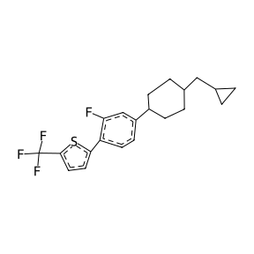 Fc1cc(C2CCC(CC3CC3)CC2)ccc1-c1ccc(C(F)(F)F)s1